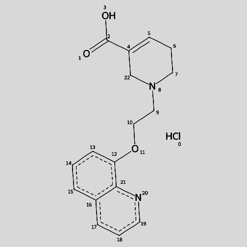 Cl.O=C(O)C1=CCCN(CCOc2cccc3cccnc23)C1